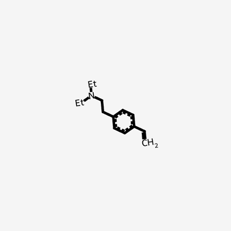 C=Cc1ccc(CCN(CC)CC)cc1